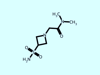 CN(C)C(=O)CN1CC(S(N)(=O)=O)C1